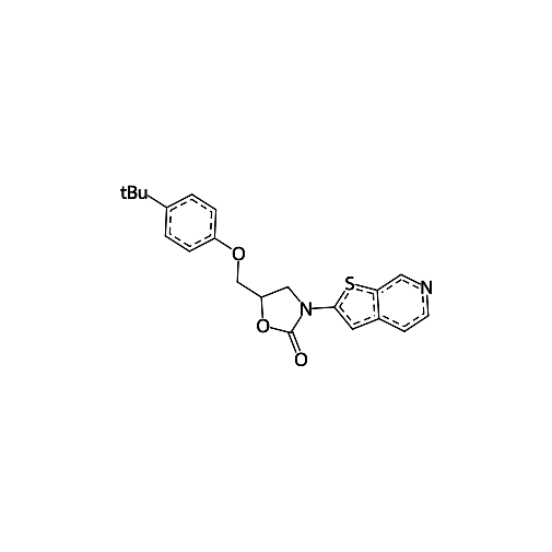 CC(C)(C)c1ccc(OCC2CN(c3cc4ccncc4s3)C(=O)O2)cc1